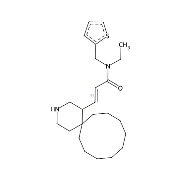 CCN(Cc1cccs1)C(=O)/C=C/C1CNCCC12CCCCCCCCC2